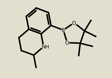 CC1CCc2cccc(B3OC(C)(C)C(C)(C)O3)c2N1